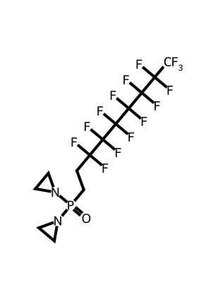 O=P(CCC(F)(F)C(F)(F)C(F)(F)C(F)(F)C(F)(F)C(F)(F)C(F)(F)F)(N1CC1)N1CC1